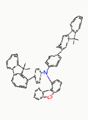 CC1(C)c2ccccc2-c2ccc(-c3ccc(N(c4ccc(-c5cccc6c5C(C)(C)c5ccccc5-6)cc4)c4cccc5oc6ccccc6c45)cc3)cc21